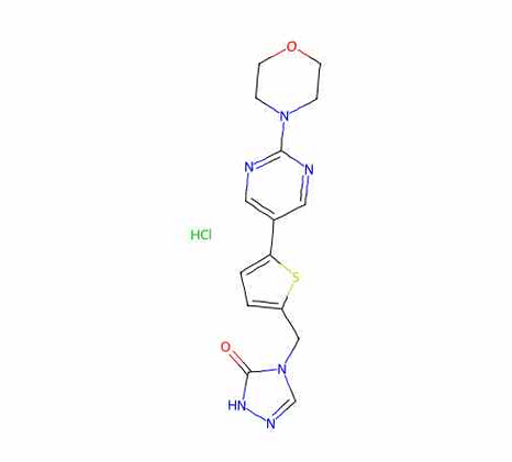 Cl.O=c1[nH]ncn1Cc1ccc(-c2cnc(N3CCOCC3)nc2)s1